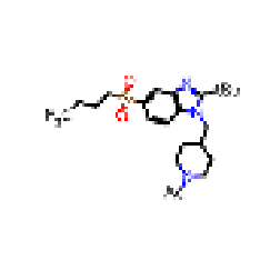 CC(=O)N1CCC(Cn2c(C(C)(C)C)nc3cc(S(=O)(=O)CCCC(F)(F)F)ccc32)CC1